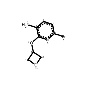 Nc1ccc(Br)nc1OC1COC1